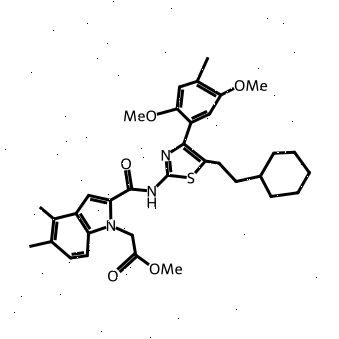 COC(=O)Cn1c(C(=O)Nc2nc(-c3cc(OC)c(C)cc3OC)c(CCC3CCCCC3)s2)cc2c(C)c(C)ccc21